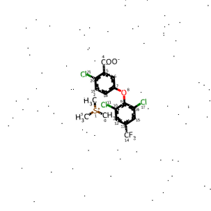 C[S+](C)C.O=C([O-])c1cc(Oc2c(Cl)cc(C(F)(F)F)cc2Cl)ccc1Cl